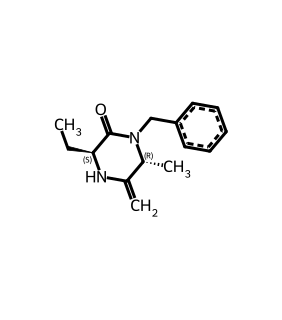 C=C1N[C@@H](CC)C(=O)N(Cc2ccccc2)[C@@H]1C